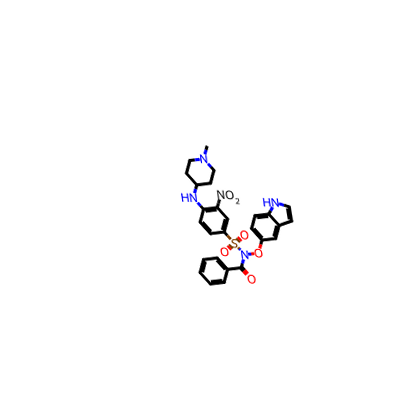 CN1CCC(Nc2ccc(S(=O)(=O)N(Oc3ccc4[nH]ccc4c3)C(=O)c3ccccc3)cc2[N+](=O)[O-])CC1